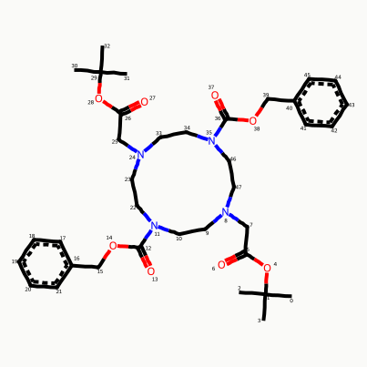 CC(C)(C)OC(=O)CN1CCN(C(=O)OCc2ccccc2)CCN(CC(=O)OC(C)(C)C)CCN(C(=O)OCc2ccccc2)CC1